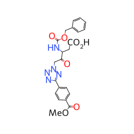 COC(=O)c1ccc(-c2nnn(CC(=O)C(CC(=O)O)NC(=O)OCc3ccccc3)n2)cc1